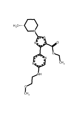 CCOC(=O)c1sc(N2CCC[C@@H](C)C2)nc1-c1cnc(NCCOC)cn1